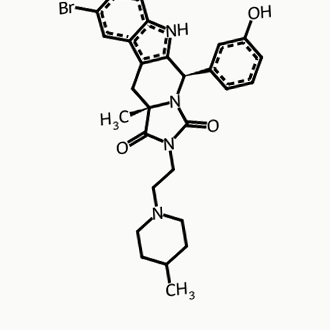 CC1CCN(CCN2C(=O)N3[C@H](c4cccc(O)c4)c4[nH]c5ccc(Br)cc5c4C[C@@]3(C)C2=O)CC1